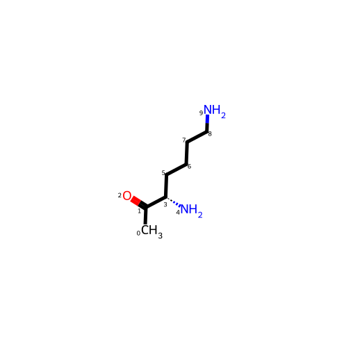 CC(=O)[C@@H](N)CCCCN